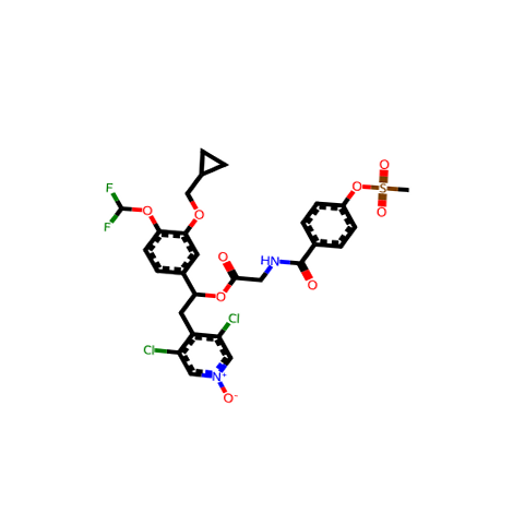 CS(=O)(=O)Oc1ccc(C(=O)NCC(=O)OC(Cc2c(Cl)c[n+]([O-])cc2Cl)c2ccc(OC(F)F)c(OCC3CC3)c2)cc1